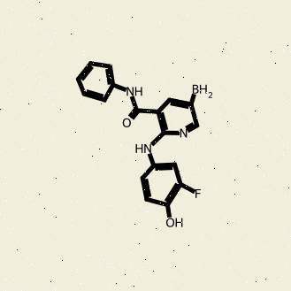 Bc1cnc(Nc2ccc(O)c(F)c2)c(C(=O)Nc2ccccc2)c1